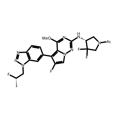 COc1nc(N[C@@H]2CN(C(C)=O)CC2(F)F)nn2cc(F)c(-c3ccc4nnn(C[C@H](C)F)c4c3)c12